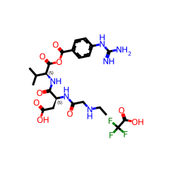 CCNCC(=O)N[C@@H](CC(=O)O)C(=O)N[C@H](C(=O)OC(=O)c1ccc(NC(=N)N)cc1)C(C)C.O=C(O)C(F)(F)F